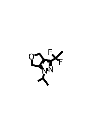 CC(C)n1nc(C(C)(F)F)c2c1COC2